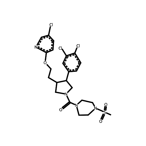 CS(=O)(=O)N1CCN(C(=O)N2CC(CCOc3ccc(Cl)cn3)C(c3ccc(Cl)c(Cl)c3)C2)CC1